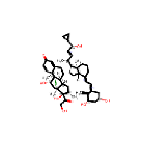 C=C1/C(=C\C=C2/CCC[C@]3(C)[C@@H]([C@H](C)/C=C/[C@@H](O)C4CC4)CC[C@@H]23)C[C@@H](O)C[C@@H]1O.C[C@H]1C[C@H]2[C@@H]3CCC4=CC(=O)C=C[C@]4(C)[C@@]3(F)[C@@H](O)C[C@]2(C)[C@@]1(O)C(=O)CO